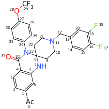 CC(=O)c1ccc2c(c1)NC1(CCN(Cc3ccc(F)c(F)c3)CC1)N(c1ccc(OC(F)(F)F)cc1)C2=O